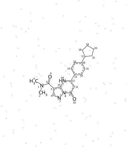 CN(C)C(=O)c1cnn2c(=O)cc(-c3ccc(C4CCCC4)cc3)[nH]c12